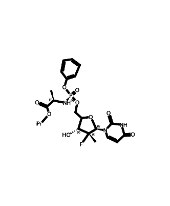 CC(C)OC(=O)[C@@H](C)N[P@@](=O)(OCC1O[C@@H](n2ccc(=O)[nH]c2=O)[C@](C)(F)[C@@H]1O)Oc1ccccc1